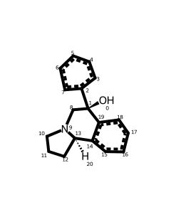 O[C@]1(c2ccccc2)CN2CCC[C@@H]2c2ccccc21